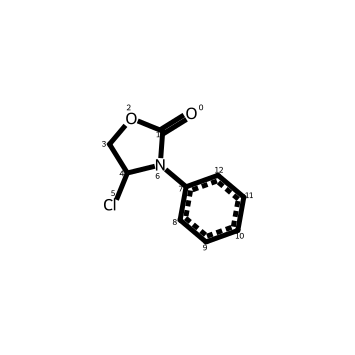 O=C1OCC(Cl)N1c1ccccc1